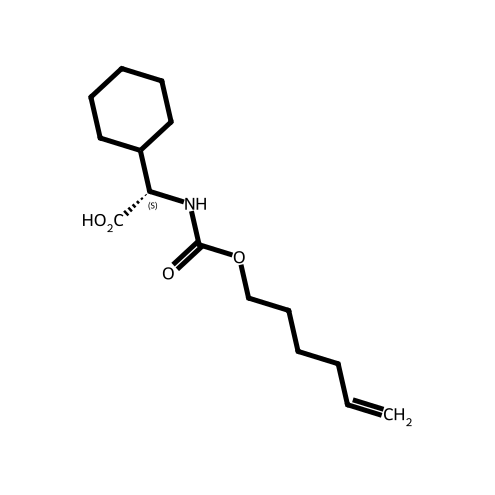 C=CCCCCOC(=O)N[C@H](C(=O)O)C1CCCCC1